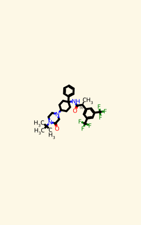 C[C@H](C(=O)NC1(c2ccccc2)CCC(N2CCN(C(C)(C)C)C(=O)C2)CC1)c1cc(C(F)(F)F)cc(C(F)(F)F)c1